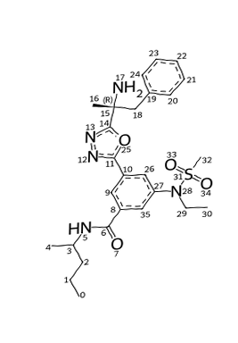 CCCC(C)NC(=O)c1cc(-c2nnc([C@](C)(N)Cc3ccccc3)o2)cc(N(CC)S(C)(=O)=O)c1